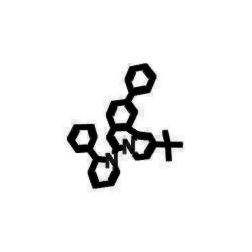 CC(C)(C)C1=CCN2C(=C1)c1cc(-c3ccccc3)ccc1C=C2N1C=CC=CC1c1ccccc1